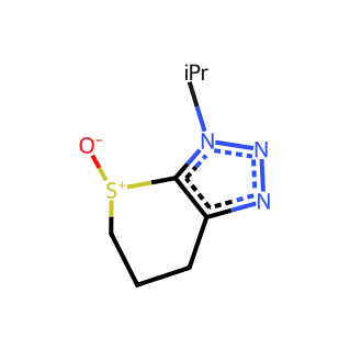 CC(C)n1nnc2c1[S+]([O-])CCC2